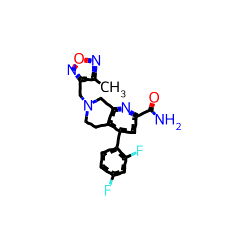 Cc1nonc1CN1CCc2c(-c3ccc(F)cc3F)cc(C(N)=O)nc2C1